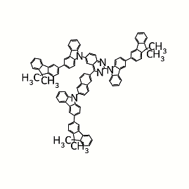 CC1(C)c2ccccc2-c2cc(-c3ccc4c(c3)c3ccccc3n4-c3ccc4cc(-c5nc(-n6c7ccccc7c7cc(-c8ccc9c(c8)-c8ccccc8C9(C)C)ccc76)nc6ccc(-n7c8ccccc8c8cc(-c9ccc%10c(c9)-c9ccccc9C%10(C)C)ccc87)cc56)ccc4c3)ccc21